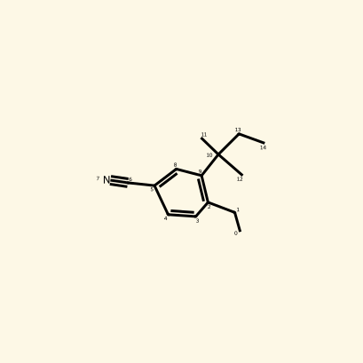 CCc1ccc(C#N)cc1C(C)(C)CC